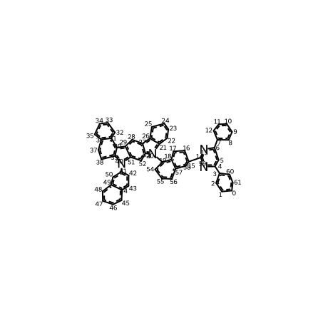 c1ccc(-c2cc(-c3ccccc3)nc(-c3ccc4c(-n5c6ccccc6c6cc7c8c9ccccc9ccc8n(-c8ccc9ccccc9c8)c7cc65)cccc4c3)n2)cc1